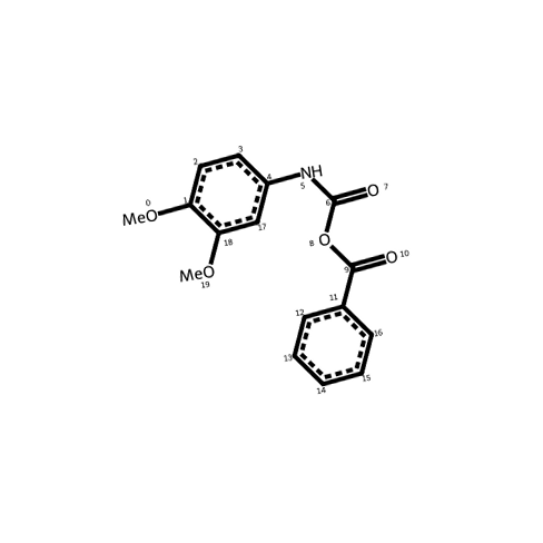 COc1ccc(NC(=O)OC(=O)c2ccccc2)cc1OC